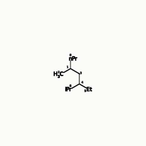 CCCC(C)CC(CC)C(C)C